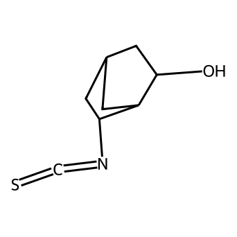 OC1CC2CC(N=C=S)C1C2